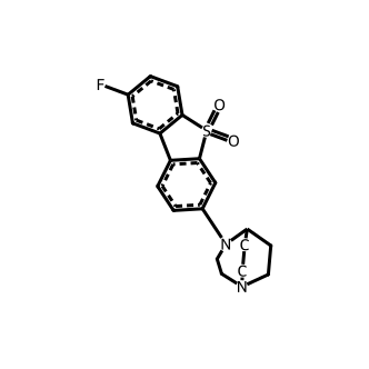 O=S1(=O)c2ccc(F)cc2-c2ccc(N3CCN4CCC3CC4)cc21